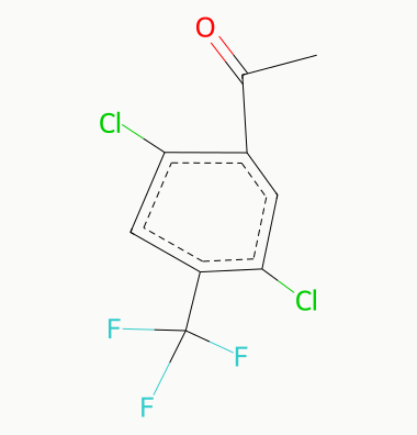 CC(=O)c1cc(Cl)c(C(F)(F)F)cc1Cl